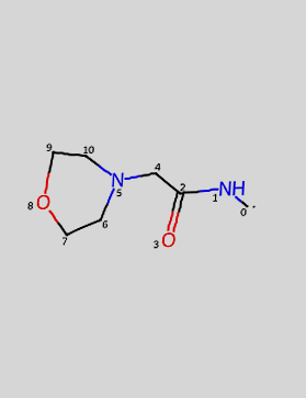 [CH2]NC(=O)CN1CCOCC1